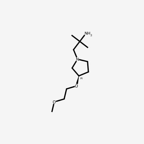 COCCO[C@@H]1CCN(CC(C)(C)N)C1